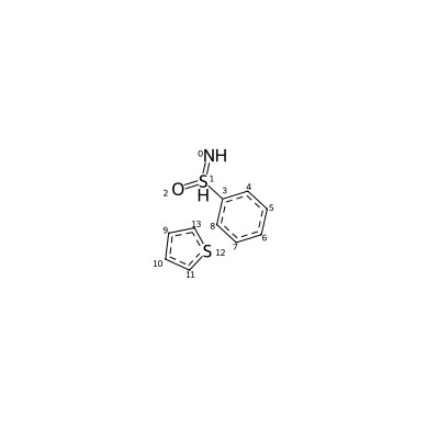 N=[SH](=O)c1ccccc1.c1ccsc1